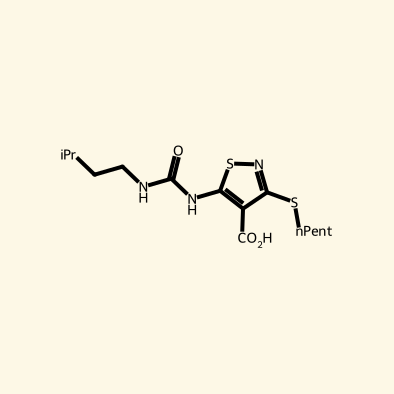 CCCCCSc1nsc(NC(=O)NCCC(C)C)c1C(=O)O